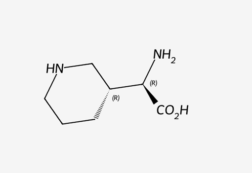 N[C@@H](C(=O)O)[C@@H]1CCCNC1